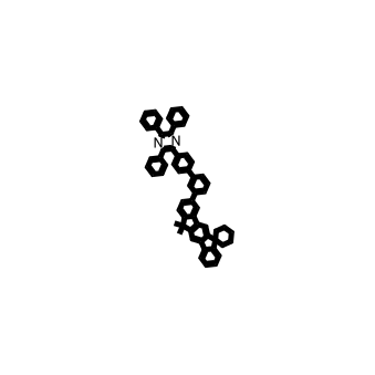 CC1(C)c2ccc(-c3cccc(-c4ccc(-c5nc(-c6ccccc6)c(-c6ccccc6)nc5-c5ccccc5)cc4)c3)cc2-c2cc3c(cc21)-c1ccccc1C31CCCCC1